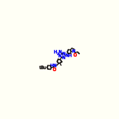 C=CC(=O)N1CCc2ccc(Nc3nc(N)nc(-c4ccc(CNC(=O)c5ccc(C(C)(C)C)cc5)c(C)c4)n3)cc21